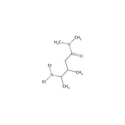 CCN(CC)C(C)C(C)CC(=O)N(C)C